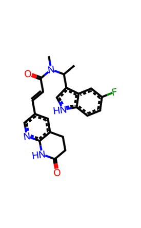 CC(c1c[nH]c2ccc(F)cc12)N(C)C(=O)C=Cc1cnc2c(c1)CCC(=O)N2